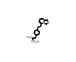 CC(=Cc1ccc(CCc2cccc3cncn23)cc1)C(=O)O